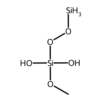 CO[Si](O)(O)OO[SiH3]